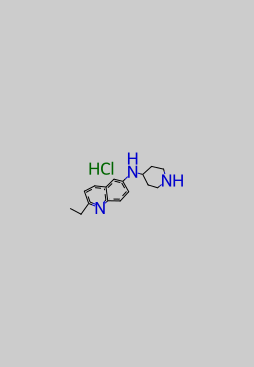 CCc1ccc2cc(NC3CCNCC3)ccc2n1.Cl